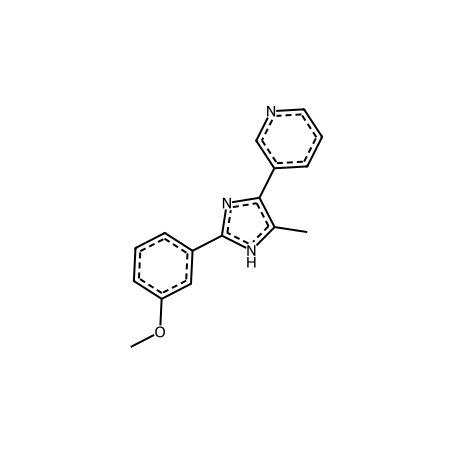 COc1cccc(-c2nc(-c3cccnc3)c(C)[nH]2)c1